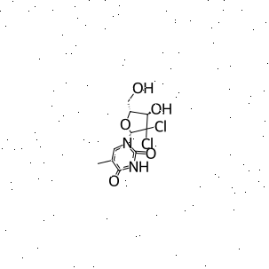 Cc1cn([C@@H]2O[C@H](CO)[C@@H](O)C2(Cl)Cl)c(=O)[nH]c1=O